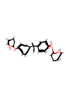 CC(C)(c1ccc(OC2CCCCO2)cc1)c1ccc(OC2CCCCO2)cc1